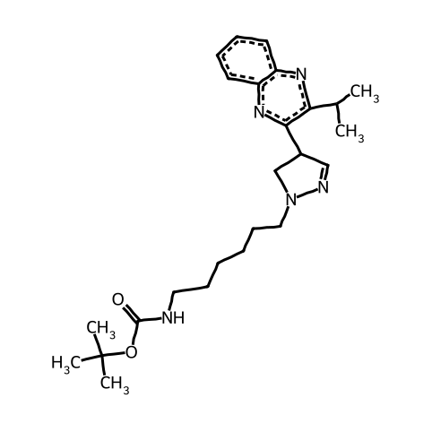 CC(C)c1nc2ccccc2nc1C1C=NN(CCCCCCNC(=O)OC(C)(C)C)C1